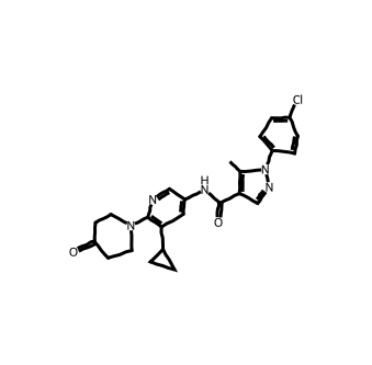 Cc1c(C(=O)Nc2cnc(N3CCC(=O)CC3)c(C3CC3)c2)cnn1-c1ccc(Cl)cc1